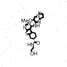 COc1cn2nccc2nc1Nc1ncnc2sc3c(c12)CC[C@H](C(=O)NCCO)C3